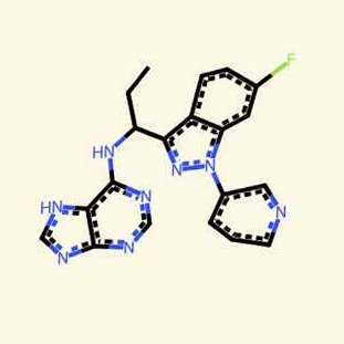 CCC(Nc1ncnc2nc[nH]c12)c1nn(-c2cccnc2)c2cc(F)ccc12